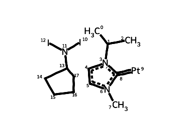 CC(C)n1ccn(C)[c]1=[Pt].IN(I)C1CCCC1